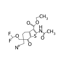 CCOC(=O)c1c(NC(C)=O)sc2c1CCC(CC#N)(COC(F)F)C2=O